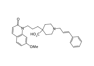 COc1ccc2ccc(=O)n(CCCC3(C(=O)O)CCN(CC=Cc4ccccc4)CC3)c2c1